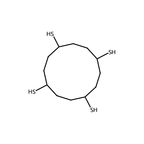 SC1CCC(S)CCC(S)CCC(S)CC1